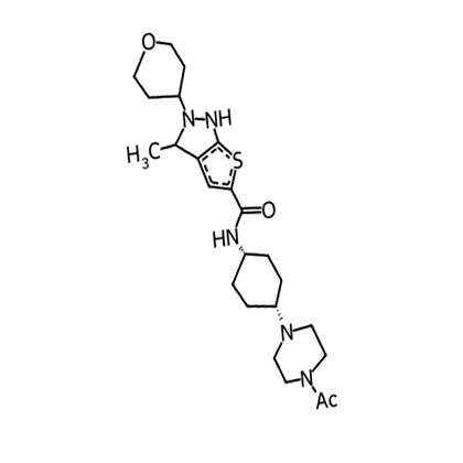 CC(=O)N1CCN([C@H]2CC[C@@H](NC(=O)c3cc4c(s3)NN(C3CCOCC3)C4C)CC2)CC1